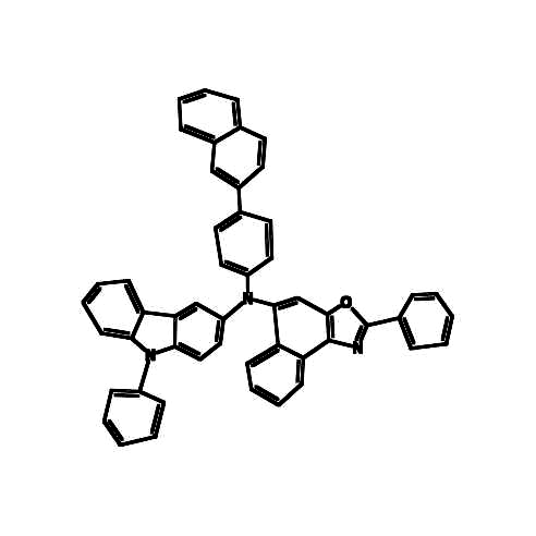 c1ccc(-c2nc3c(cc(N(c4ccc(-c5ccc6ccccc6c5)cc4)c4ccc5c(c4)c4ccccc4n5-c4ccccc4)c4ccccc43)o2)cc1